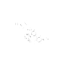 CC(C)=CC(CC(C)(C)O)C1CC2(N=C(N)N(C)O2)c2cc(-c3cccc(C#N)c3)ccc2O1